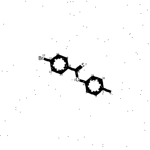 Cc1ccc(OC(=S)c2ccc(Br)cc2)cc1